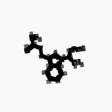 CCCCCC(C)n1cc(CCC(N)=O)c2ccccc21